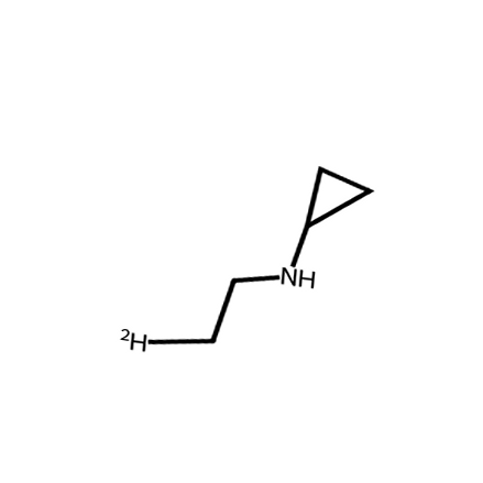 [2H]CCNC1CC1